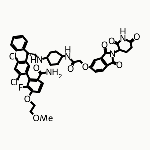 COCCOc1ccc(C(N)=O)c(-c2cc([C@H](CNC3CCC(NC(=O)COc4ccc5c(c4)C(=O)N(C4CCC(=O)NC4=O)C5=O)CC3)c3ccccc3)c(Cl)cc2Cl)c1F